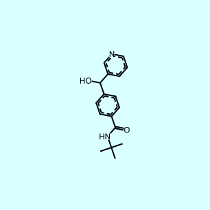 CC(C)(C)NC(=O)c1ccc(C(O)c2cccnc2)cc1